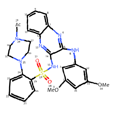 COc1cc(Nc2nc3ccccc3nc2NS(=O)(=O)c2c[c]ccc2N2CCN(C(C)=O)CC2)cc(OC)c1